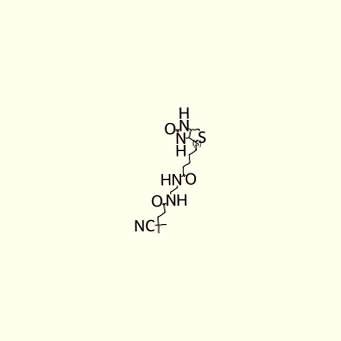 CC(C)(C#N)CCC(=O)NCCNC(=O)CCCC[C@@H]1SCC2NC(=O)NC21